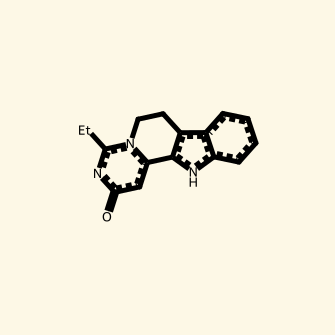 CCc1nc(=O)cc2n1CCc1c-2[nH]c2ccccc12